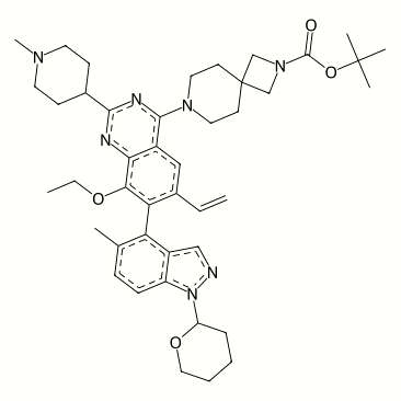 C=Cc1cc2c(N3CCC4(CC3)CN(C(=O)OC(C)(C)C)C4)nc(C3CCN(C)CC3)nc2c(OCC)c1-c1c(C)ccc2c1cnn2C1CCCCO1